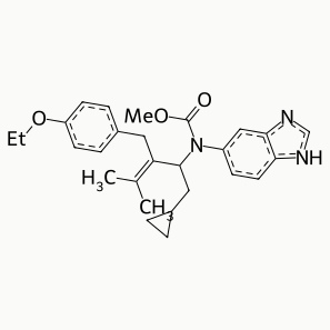 CCOc1ccc(CC(=C(C)C)C(CC2CC2)N(C(=O)OC)c2ccc3[nH]cnc3c2)cc1